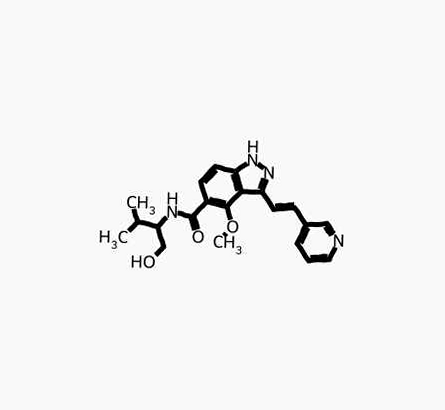 COc1c(C(=O)NC(CO)C(C)C)ccc2[nH]nc(/C=C/c3cccnc3)c12